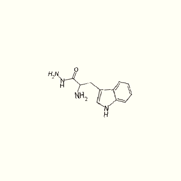 NNC(=O)C(N)Cc1c[nH]c2ccccc12